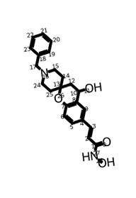 O=C(C=Cc1ccc2c(c1)C(O)CC1(CCN(Cc3ccccc3)CC1)O2)NO